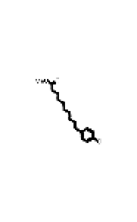 COC(=O)CCCCCCCC=Cc1ccc(Cl)cc1